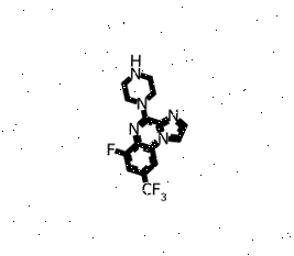 Fc1cc(C(F)(F)F)cc2c1nc(N1CCNCC1)c1nccn12